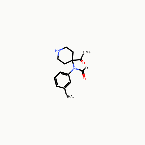 CCC(=O)N(c1cccc(NC(C)=O)c1)C1(C(=O)OC)CCNCC1